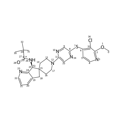 COc1nccc(Sc2cnc(N3CCC4(CC3)Cc3cccnc3[C@H]4N[S@+]([O-])C(C)(C)C)cn2)c1Cl